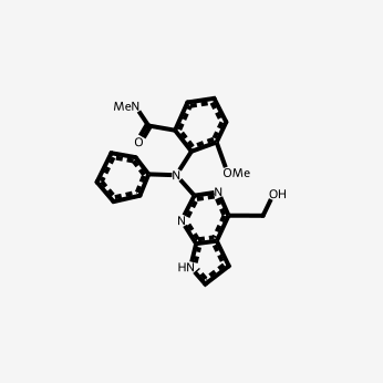 CNC(=O)c1cccc(OC)c1N(c1ccccc1)c1nc(CO)c2cc[nH]c2n1